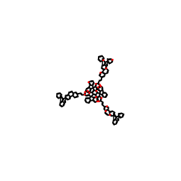 C(=C\c1ccc2c(ccc3cc(N(c4ccccc4)c4ccccc4)ccc32)c1)/c1ccc2c(c1)C1(c3ccccc3-c3ccccc31)c1c-2c2c(c3c1-c1ccc(/C=C/c4ccc5c(ccc6cc(N(c7ccccc7)c7ccccc7)ccc65)c4)cc1C31c3ccccc3-c3ccccc31)-c1ccc(/C=C/c3ccc4c(ccc5cc(N(c6ccccc6)c6ccccc6)ccc54)c3)cc1C21c2ccccc2-c2ccccc21